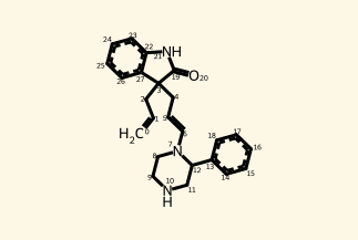 C=CCC1(CC=CN2CCNCC2c2ccccc2)C(=O)Nc2ccccc21